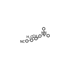 CC1(C)c2cc(-c3ccc(C#N)cc3)ccc2-c2ccc(-c3ccc(-c4nc(-c5ccccc5)nc(-c5ccccc5)n4)cc3)cc21